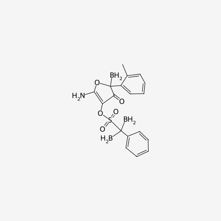 BC1(c2ccccc2C)OC(N)=C(OS(=O)(=O)C(B)(B)c2ccccc2)C1=O